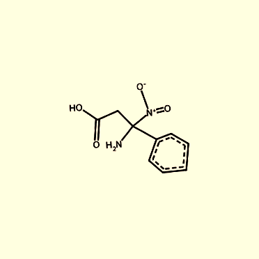 NC(CC(=O)O)(c1ccccc1)[N+](=O)[O-]